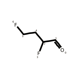 O=CC(F)CCF